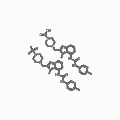 Cc1ccc(NC(=O)Nc2cccc3cc(CN4CCN(C(=O)O)CC4)n(C)c23)cn1.Cc1ccc(NC(=O)Nc2cccc3cc(CN4CCN(S(C)(=O)=O)CC4)n(C)c23)cn1